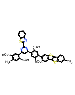 CCCCCCCCc1cc(-c2cc(-c3cc(CCCCCCCC)c(-c4ccc5c(c4)sc4c6ccc(C)cc6sc54)cc3CCCCCCCC)nc(-c3nc4ccccc4s3)n2)c(CCCCCCCC)cc1C